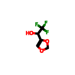 OC(C1=COCO1)C(F)(F)F